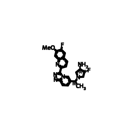 COc1cc2nc(-c3nnc4ccc([C@H](C)N5C[C@@H](N)[C@H](F)C5)cn34)ccc2cc1F